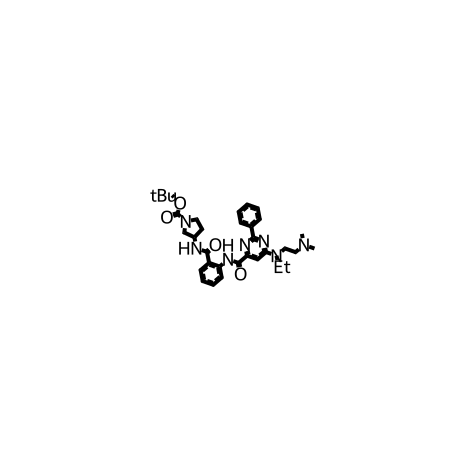 CCN(CCN(C)C)c1cc(C(=O)Nc2ccccc2C(=O)NC2CCN(C(=O)OC(C)(C)C)C2)nc(-c2ccccc2)n1